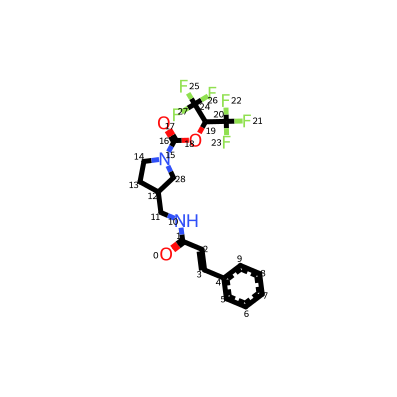 O=C(C=Cc1ccccc1)NCC1CCN(C(=O)OC(C(F)(F)F)C(F)(F)F)C1